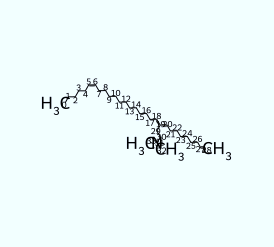 CCCCC/C=C\CCCCCCCCCCCC=C(CCCCCCCCC)CCN(C)C